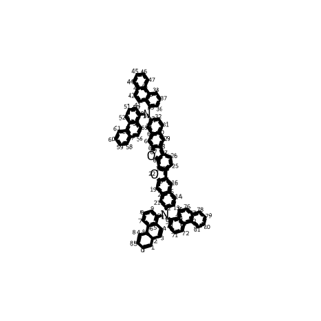 C1=CC2C=Cc3c(cccc3N(c3ccc4cc5c(cc4c3)oc3c5ccc4c5cc6ccc(N(c7cccc8c7ccc7ccccc78)c7cccc8c7ccc7ccccc78)cc6cc5oc43)c3cccc4c3ccc3ccccc34)C2C=C1